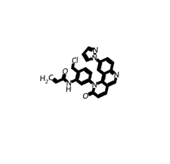 C=CC(=O)Nc1cc(-n2c(=O)ccc3cnc4ccc(-n5cccn5)cc4c32)ccc1CCl